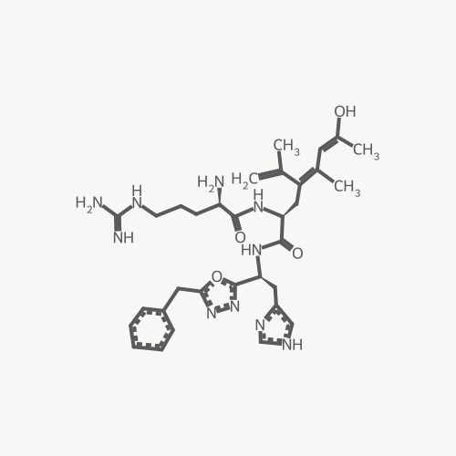 C=C(C)/C(C[C@H](NC(=O)[C@H](N)CCCNC(=N)N)C(=O)N[C@@H](Cc1c[nH]cn1)c1nnc(Cc2ccccc2)o1)=C(C)\C=C(/C)O